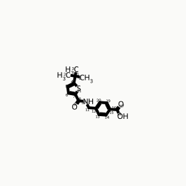 CC(C)(C)c1ccc(C(=O)NCc2ccc(C(=O)O)cc2)s1